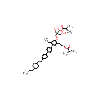 C=C(C)C(=O)OCCCc1cc(-c2ccc(-c3ccc(CCC4CCC(CCC)CC4)cc3)cc2)c(CC)cc1OCC(CO)(CO)COC(=O)C(=C)C